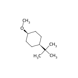 CO[C@H]1CC[C@@H](C(C)(C)C)CC1